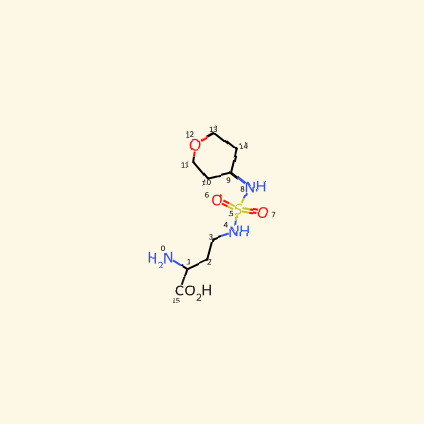 NC(CCNS(=O)(=O)NC1CCOCC1)C(=O)O